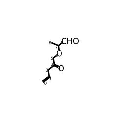 C=CCC(=O)COC(C)[C]=O